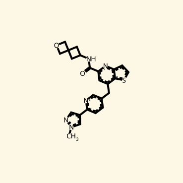 Cn1cc(-c2ccc(Cc3cc(C(=O)NC4CC5(COC5)C4)nc4ccsc34)cn2)cn1